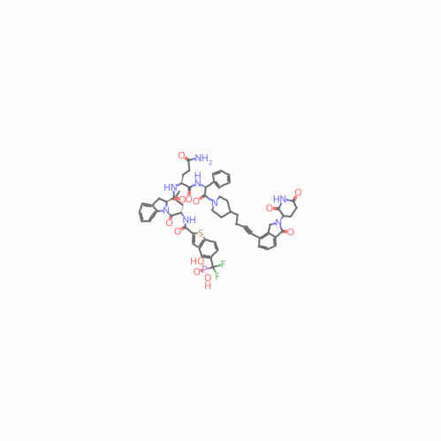 CC(C)C[C@H](NC(=O)c1cc2cc(C(F)(F)P(=O)(O)O)ccc2s1)C(=O)N1c2ccccc2C[C@H]1C(=O)N[C@@H](CCC(N)=O)C(=O)N[C@H](C(=O)N1CCC(CCC#Cc2cccc3c2CN(C2CCC(=O)NC2=O)C3=O)CC1)c1ccccc1